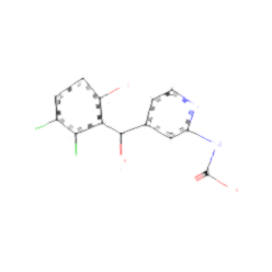 O=C(O)Nc1cc(C(O)c2c(O)ccc(Cl)c2Cl)ccn1